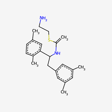 C=C(NC(Cc1cc(C)cc(C)c1)c1cc(C)ccc1C)SCCN